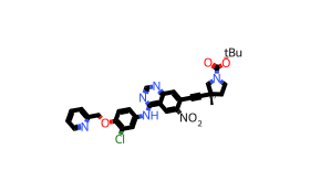 CC(C)(C)OC(=O)N1CC[C@](C)(C#Cc2cc3ncnc(Nc4ccc(OCc5ccccn5)c(Cl)c4)c3cc2[N+](=O)[O-])C1